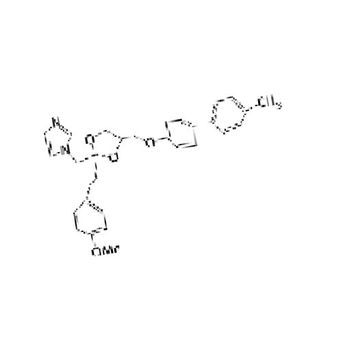 COc1ccc(CCC2(Cn3ccnc3)OCC(COc3ccc(-c4ccc(C)cc4)cc3)O2)cc1